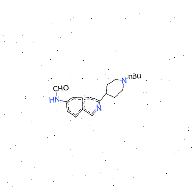 CCCCN1CCC(c2cc3cc(NC=O)ccc3cn2)CC1